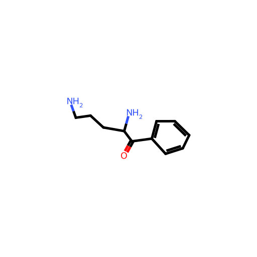 NCCCC(N)C(=O)c1ccccc1